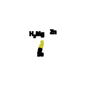 S=[Se].[MgH2].[Zn]